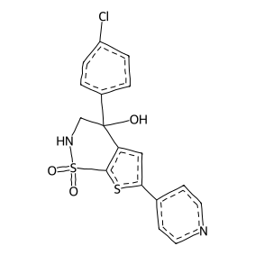 O=S1(=O)NCC(O)(c2ccc(Cl)cc2)c2cc(-c3ccncc3)sc21